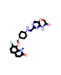 Cn1c(=O)ccc2ccc(F)c(OC[C@H]3CC[C@H](NCc4ncc5c(n4)NC(=O)CO5)CC3)c21